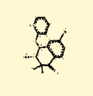 CC1(C)C(=O)c2ccc(Br)cc2[C@H](Oc2ccccn2)[C@H]1O